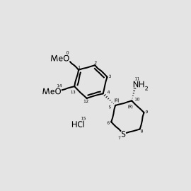 COc1ccc([C@H]2CSCC[C@H]2N)cc1OC.Cl